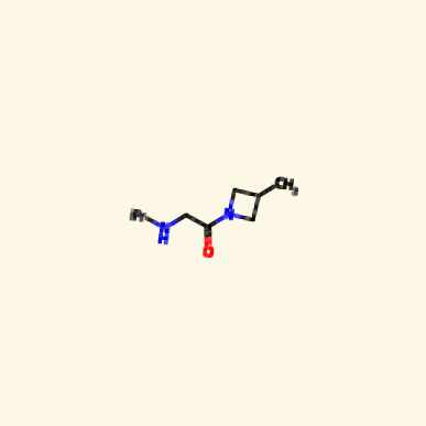 CC1CN(C(=O)CNC(C)C)C1